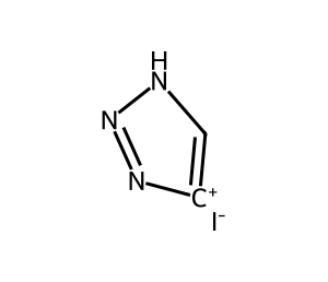 [C+]1=CNN=N1.[I-]